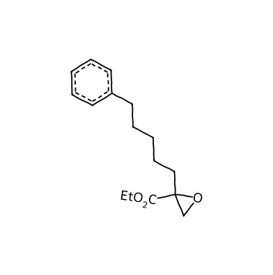 CCOC(=O)C1(CCCCCc2ccccc2)CO1